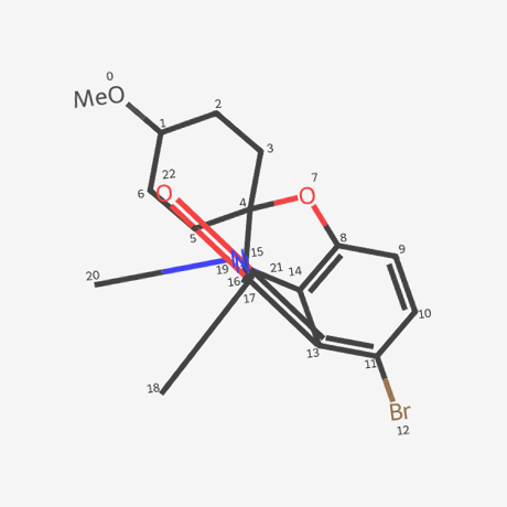 COC1CCC2(CC1)Oc1ccc(Br)cc1C21N=C(C)N(C)C1=O